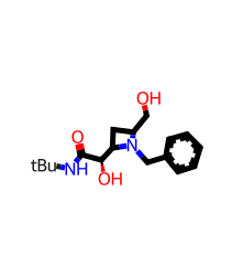 CC(C)(C)NC(=O)[C@H](O)C1CC(CO)N1Cc1ccccc1